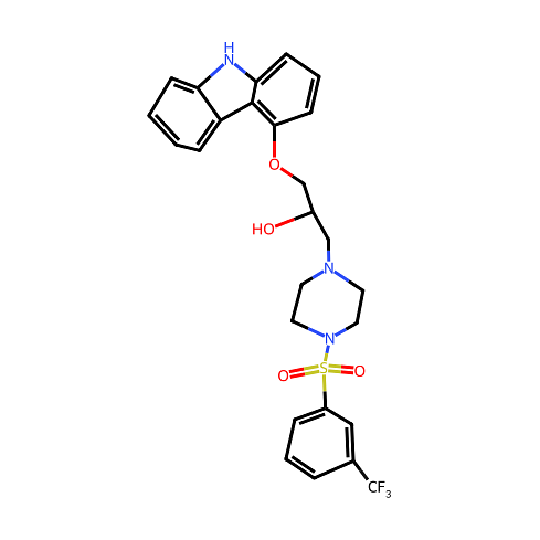 O=S(=O)(c1cccc(C(F)(F)F)c1)N1CCN(CC(O)COc2cccc3[nH]c4ccccc4c23)CC1